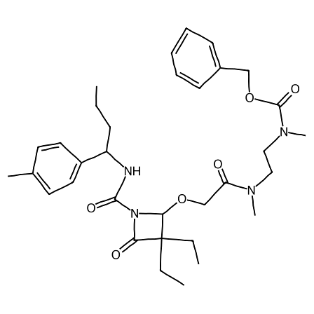 CCCC(NC(=O)N1C(=O)C(CC)(CC)C1OCC(=O)N(C)CCN(C)C(=O)OCc1ccccc1)c1ccc(C)cc1